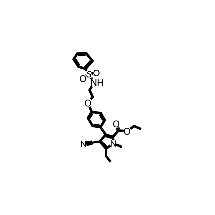 CCOC(=O)c1c(-c2ccc(OCCNS(=O)(=O)c3ccccc3)cc2)c(C#N)c(CC)n1C